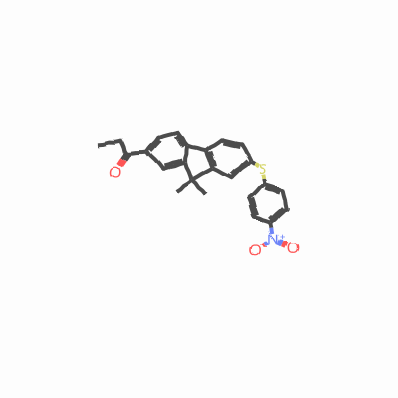 CCC(=O)c1ccc2c(c1)C(C)(C)c1cc(Sc3ccc([N+](=O)[O-])cc3)ccc1-2